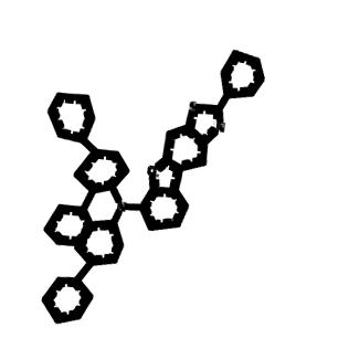 c1ccc(-c2ccc(N(c3ccc(-c4ccccc4)cc3-c3ccccc3)c3cccc4c3oc3cc5sc(-c6ccccc6)nc5cc34)cc2)cc1